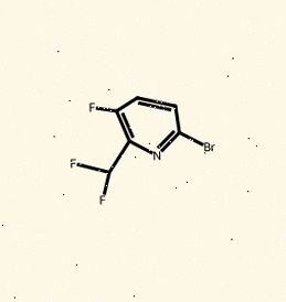 Fc1ccc(Br)nc1C(F)F